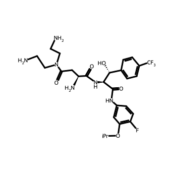 CC(C)Oc1cc(NC(=O)[C@@H](NC(=O)[C@@H](N)CC(=O)N(CCN)CCN)[C@H](O)c2ccc(C(F)(F)F)cc2)ccc1F